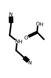 CC(=O)O.N#CCNCC#N